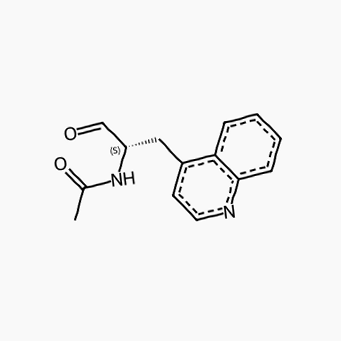 CC(=O)N[C@H](C=O)Cc1ccnc2ccccc12